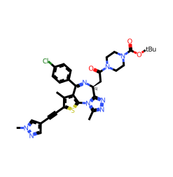 Cc1c(C#Cc2cnn(C)c2)sc2c1C(c1ccc(Cl)cc1)=N[C@@H](CC(=O)N1CCN(C(=O)OC(C)(C)C)CC1)c1nnc(C)n1-2